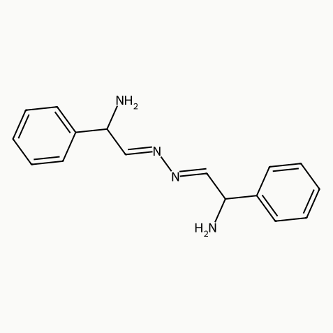 NC(/C=N/N=C/C(N)c1ccccc1)c1ccccc1